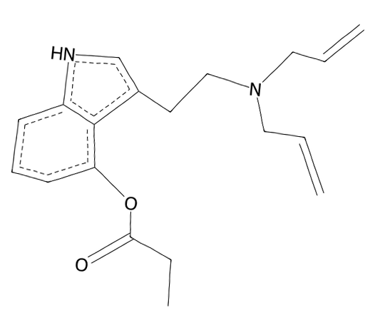 C=CCN(CC=C)CCc1c[nH]c2cccc(OC(=O)CC)c12